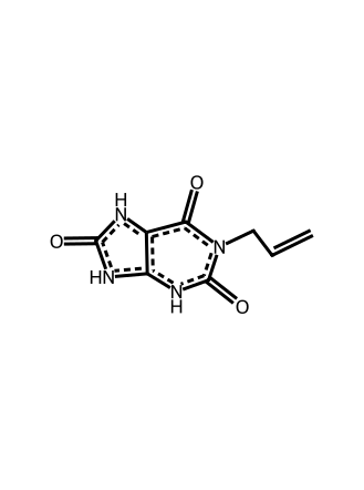 C=CCn1c(=O)[nH]c2[nH]c(=O)[nH]c2c1=O